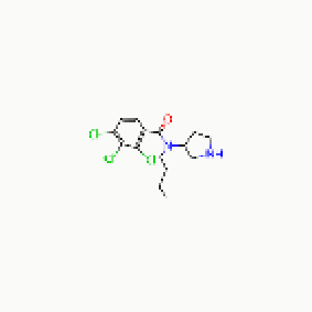 CCCCN(C(=O)c1ccc(Cl)c(Cl)c1Cl)C1CCNC1